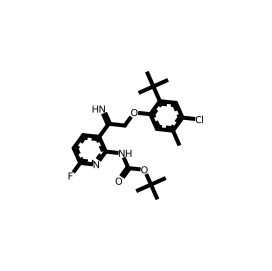 Cc1cc(OCC(=N)c2ccc(F)nc2NC(=O)OC(C)(C)C)c(C(C)(C)C)cc1Cl